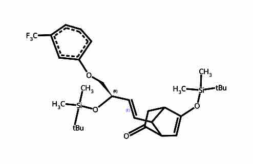 CC(C)(C)[Si](C)(C)OC1=CC2C(=O)CC1C2/C=C/[C@H](COc1cccc(C(F)(F)F)c1)O[Si](C)(C)C(C)(C)C